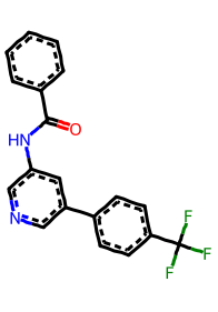 O=C(Nc1cncc(-c2ccc(C(F)(F)F)cc2)c1)c1ccccc1